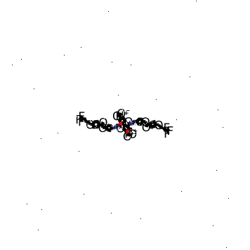 Cc1c([N+](=O)[O-])ccc(-c2ccc([N+](=O)[O-])cc2C(=O)/C=C/c2ccc(OC(=O)c3ccc(OCCCC(F)(F)F)cc3)cc2)c1C(=O)/C=C/c1ccc(OC(=O)c2ccc(OCCCC(F)(F)F)cc2)cc1